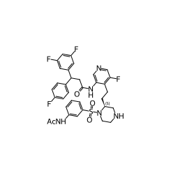 CC(=O)Nc1cccc(S(=O)(=O)N2CCNC[C@@H]2CCc2c(F)cncc2NC(=O)CC(c2ccc(F)cc2)c2cc(F)cc(F)c2)c1